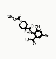 Cc1cc(Br)cc(C(N)=O)c1NC(=O)C1(F)CCN(C(=O)OC(C)(C)C)CC1